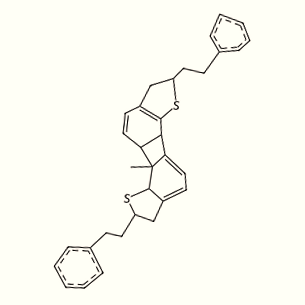 CC12C(=CC=C3CC(CCc4ccccc4)SC31)C1C3=C(C=CC12)CC(CCc1ccccc1)S3